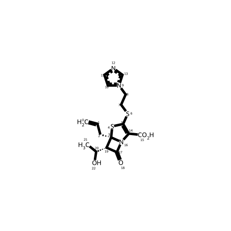 C=CC[C@]12SC(SCCn3ccnc3)=C(C(=O)O)N1C(=O)[C@@H]2C(C)O